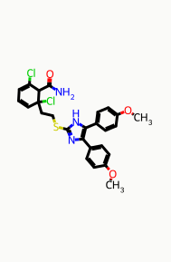 COc1ccc(-c2nc(SCCC3(Cl)C=CC=C(Cl)C3C(N)=O)[nH]c2-c2ccc(OC)cc2)cc1